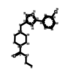 CCSC(=O)N1CCN(Cc2noc(-c3cccc(Cl)c3)n2)CC1